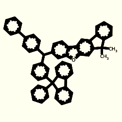 CC1(C)c2ccccc2-c2cc3c(cc21)oc1cc(C(c2ccc(-c4ccccc4)cc2)c2cccc(C4(c5ccccc5)c5ccccc5-c5ccccc54)c2)ccc13